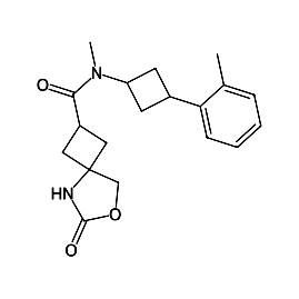 Cc1ccccc1C1CC(N(C)C(=O)C2CC3(COC(=O)N3)C2)C1